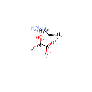 C=CC.N.N.O=C(O)C(=O)O